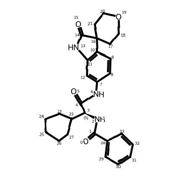 O=C(N[C@H](C(=O)Nc1ccc2c(c1)NC(=O)C21CCOCC1)C1CCCCC1)c1ccccc1